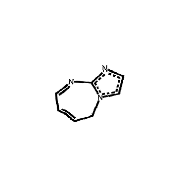 C1=CCn2ccnc2N=C1